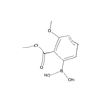 COC(=O)c1c(OC)cccc1B(O)O